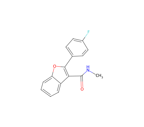 CNC(=O)c1c(-c2ccc(F)cc2)oc2ccccc12